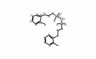 Cc1ccccc1CCC[Si](C)(C)O[Si](C)(C)CCCc1ccccc1C